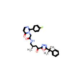 C[C@@H](CNC(=O)Cn1c(-c2ccc(F)cc2)nccc1=O)CC(=O)c1nnc(C(C)(C)c2ccccc2)o1